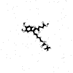 COC(=O)CCC(=O)c1sc2cc(OC)c(OC)cc2c1/C=C/CCCNC(=O)OC(C)(C)C